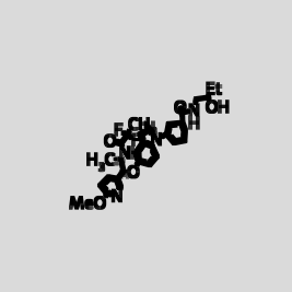 CCC(O)CNC(=O)c1cccc(-n2ncc3cc(O[C@H](c4ccc(OC)nc4)[C@H](C)NC(=O)C(C)(F)F)ccc32)c1